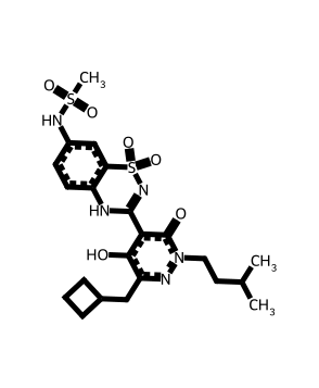 CC(C)CCn1nc(CC2CCC2)c(O)c(C2=NS(=O)(=O)c3cc(NS(C)(=O)=O)ccc3N2)c1=O